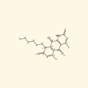 C=C1C=C(C)C2=C(N1)C(=O)c1c(c(C)cc(=O)n1CCCCCC)C2=O